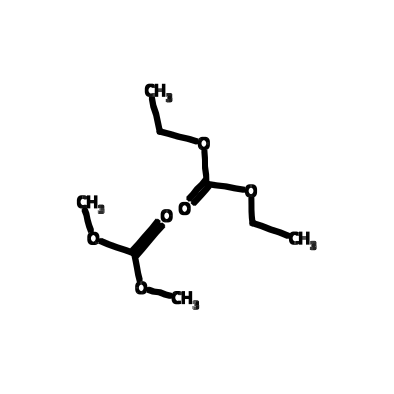 CCOC(=O)OCC.COC(=O)OC